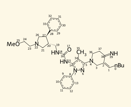 CCCC/C=C1/CN(c2nn(-c3ccccc3)c(NC(=O)NC[C@@H]3CN(CCOC)C[C@H]3c3ccccc3)c2C)CCC1=N